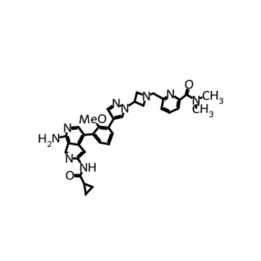 COc1c(-c2cnn(C3CN(Cc4cccc(C(=O)N(C)C)n4)C3)c2)cccc1-c1cnc(N)c2cnc(NC(=O)C3CC3)cc12